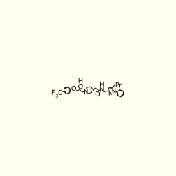 CC(C)c1cc(CNC(=O)CN2CCN(CC(O)COc3ccc(C(F)(F)F)cc3)CC2)nn1-c1ccccc1